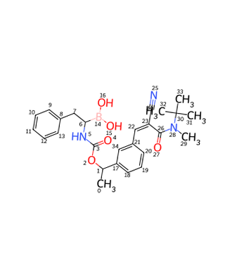 CC(OC(=O)NC(Cc1ccccc1)B(O)O)c1cccc(C=C(C#N)C(=O)N(C)C(C)(C)C)c1